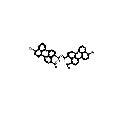 O=C(O)c1ccc2c3ccc(Br)c4cccc(c5ccc(C(=O)OC(=O)c6ccc7c8cccc9c(Br)ccc(c%10ccc(C(=O)O)c6c%107)c98)c1c25)c43